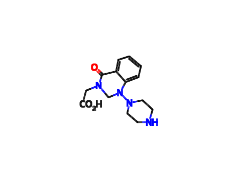 O=C(O)CN1CN(N2CCNCC2)c2ccccc2C1=O